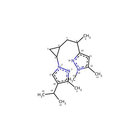 Cc1nn(C2CC2CC(C)c2cc(C)n(C)n2)cc1C(C)C